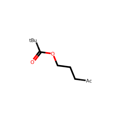 CC(=O)CCCOC(=O)C(C)(C)C